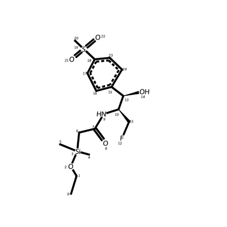 CCO[Si](C)(C)CC(=O)N[C@H](CF)[C@H](O)c1ccc(S(C)(=O)=O)cc1